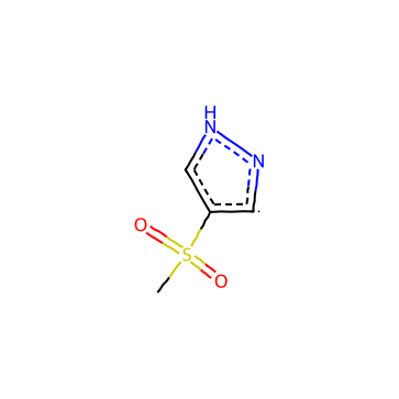 CS(=O)(=O)c1[c]n[nH]c1